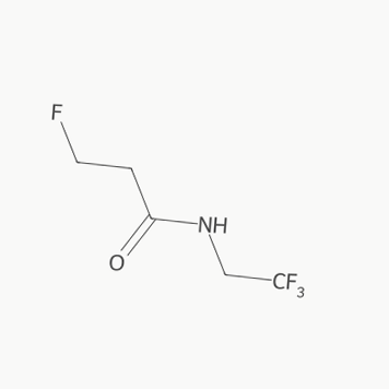 O=C(CCF)NCC(F)(F)F